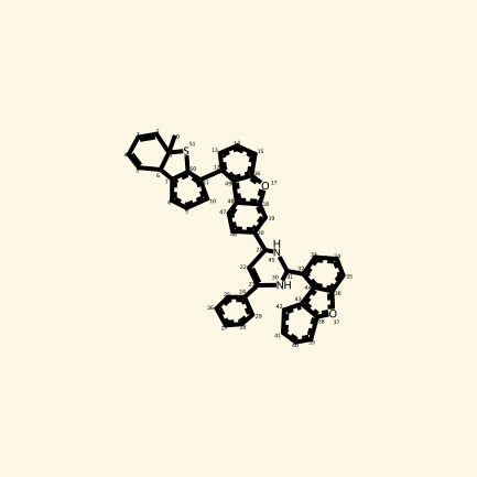 CC12C=CC=CC1c1cccc(-c3cccc4oc5cc(C6C=C(c7ccccc7)NC(c7cccc8oc9ccccc9c78)N6)ccc5c34)c1S2